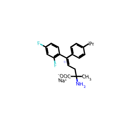 CC(C)c1ccc(/C(=C\CC(C)(N)C(=O)[O-])c2ccc(F)cc2F)cc1.[Na+]